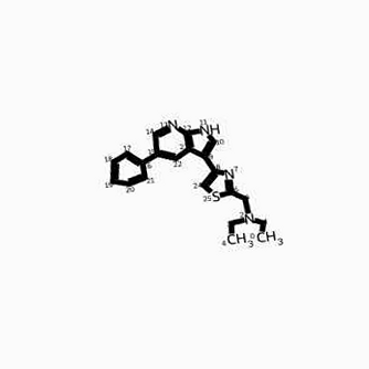 CCN(CC)Cc1nc(-c2c[nH]c3ncc(-c4ccccc4)cc23)cs1